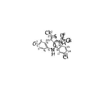 O=C(Nc1ccc(Cl)cc1)c1cc(Cl)ccc1N(c1ccc(Cl)s1)[SH](=O)=O